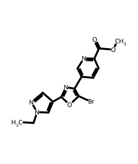 CCn1cc(-c2nc(-c3ccc(C(=O)OC)nc3)c(Br)o2)cn1